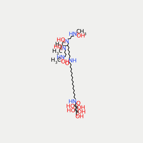 CB(O)NCCCCN(CC(CCCCCCNC(=O)CCCCCCCCCCCCCCCCCNC(=O)[C@@H](O)[C@H](O)[C@@H](O)[C@H](O)CO)CN(CCCCNB(C)O)B(C)O)B(C)O